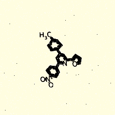 Cc1ccc(-c2cc(-c3ccc([N+](=O)[O-])cc3)nc(-c3ccco3)c2)cc1